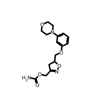 NC(=O)OCC1=NOC(COc2cccc(N3CCOCC3)c2)C1